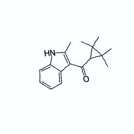 Cc1[nH]c2ccccc2c1C(=O)C1C(C)(C)C1(C)C